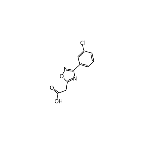 O=C(O)Cc1nc(-c2cccc(Cl)c2)no1